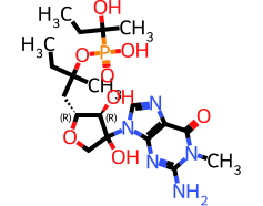 CCC(C)(C[C@H]1OCC(O)(n2cnc3c(=O)n(C)c(N)nc32)[C@@H]1O)OP(=O)(O)C(C)(O)CC